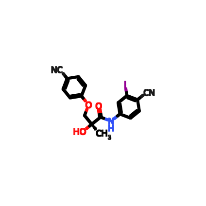 C[C@@](O)(COc1ccc(C#N)cc1)C(=O)Nc1ccc(C#N)c(I)c1